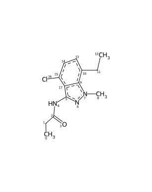 CCC(=O)Nc1nn(C)c2c(CC)ccc(Cl)c12